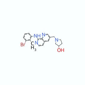 Cc1c(Br)cccc1Nc1nccc2cc(CN3CCC(O)C3)cnc12